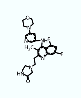 Cc1c(CCN2CCNC(=O)C2)nc2cc(F)cc(F)c2c1Nc1cncc(N2CCOCC2)c1